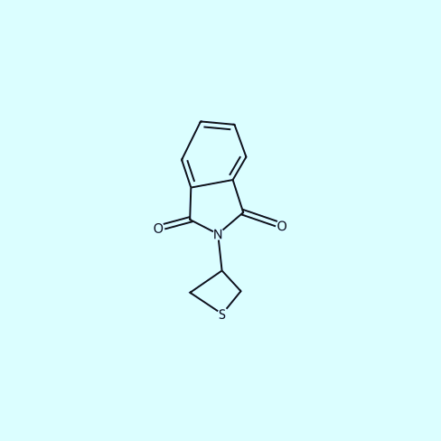 O=C1c2ccccc2C(=O)N1C1CSC1